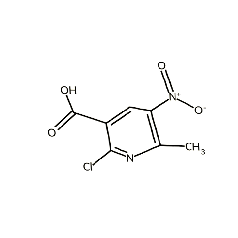 Cc1nc(Cl)c(C(=O)O)cc1[N+](=O)[O-]